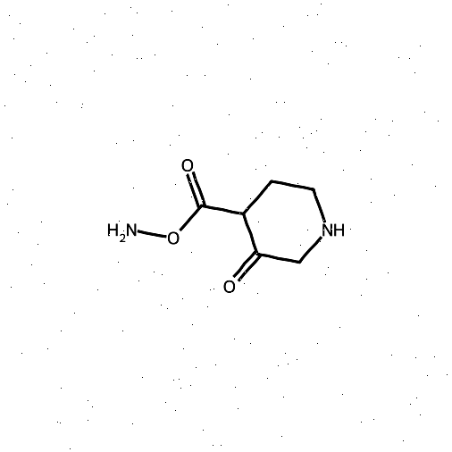 NOC(=O)C1CCNCC1=O